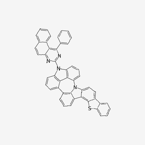 c1ccc(-c2nc(-n3c4cccc5c6cccc7c8c9sc%10ccccc%10c9ccc8n(c8cccc3c8c54)c67)nc3ccc4ccccc4c23)cc1